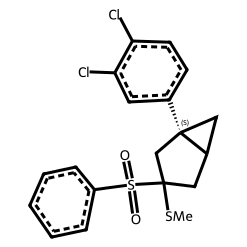 CSC1(S(=O)(=O)c2ccccc2)CC2C[C@]2(c2ccc(Cl)c(Cl)c2)C1